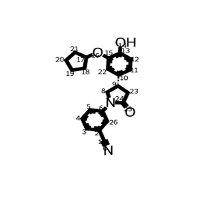 N#Cc1cccc(N2C[C@H](c3ccc(O)c(OC4CCCC4)c3)CC2=O)c1